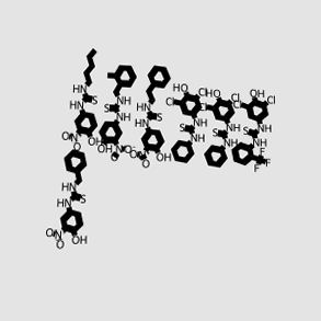 CCCCCNC(=S)Nc1ccc(O)c([N+](=O)[O-])c1.Cc1ccccc1CNC(=S)Nc1ccc(O)c([N+](=O)[O-])c1.O=[N+]([O-])c1cc(NC(=S)NCCc2ccccc2)ccc1O.O=[N+]([O-])c1cc(NC(=S)NCc2ccccc2)ccc1O.Oc1c(Cl)cc(NC(=S)NC2CCCCC2)cc1Cl.Oc1c(Cl)cc(NC(=S)Nc2ccccc2)cc1Cl.Oc1c(Cl)cc(NC(=S)Nc2ccccc2C(F)(F)F)cc1Cl